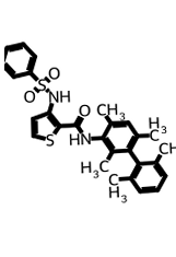 Cc1cc(C)c(-c2c(C)cccc2C)c(C)c1NC(=O)c1sccc1NS(=O)(=O)c1ccccc1